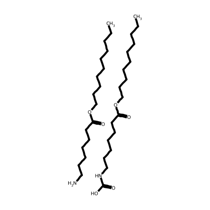 CCCCCCCCCCOC(=O)CCCCCCN.CCCCCCCCCCOC(=O)CCCCCCNC(=O)O